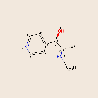 C[C@H](NC(=O)O)[C@H](O)c1ccncc1